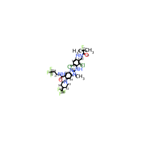 Cn1c(Nc2c(Cl)ccc(CNC(=O)C(C)(C)F)c2Cl)nc2cc(C(=O)NCCC(F)(F)F)c(N3CCC(C(F)(F)F)CC3)cc21